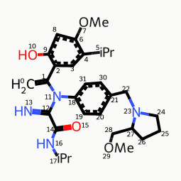 C=C(c1cc(C(C)C)c(OC)cc1O)N(C(=N)C(=O)NC(C)C)c1ccc(CN2CCCC2COC)cc1